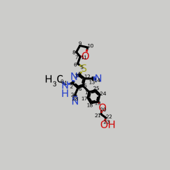 CNc1nc(SCC2CCCO2)c(C#N)c(-c2ccc(OCCO)cc2)c1C#N